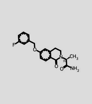 C[C@@H](C(N)=O)N1CCc2cc(OCc3cccc(F)c3)ccc2C1=O